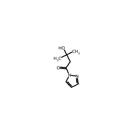 CC(C)(O)CC(=O)n1cc[c]n1